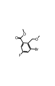 COCc1c(Br)cc(F)cc1C(=O)OC